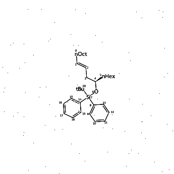 CCCCCCCCC=CC[C@@H](CCCCCC)O[Si](c1ccccc1)(c1ccccc1)C(C)(C)C